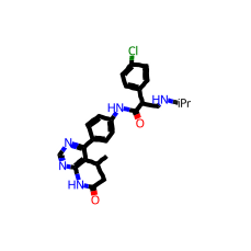 CC(C)NCC(C(=O)Nc1ccc(-c2ncnc3c2C(C)CC(=O)N3)cc1)c1ccc(Cl)cc1